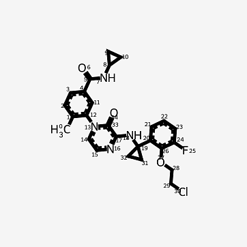 Cc1ccc(C(=O)NC2CC2)cc1-n1ccnc(NC2(c3cccc(F)c3OCCCl)CC2)c1=O